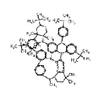 CC1c2ccc(cc2)-c2cc(C(C)(C)C)ccc2N2c3cc4c(cc3B3c5cc(C(C)(C)C)ccc5N(c5ccc(C(C)(C)C)cc5)c5cc(N6c7ccc(C(C)(C)C)cc7C7(C)CC(C(C)(C)C)CCC67C)cc2c53)C(C)(C)CCC41